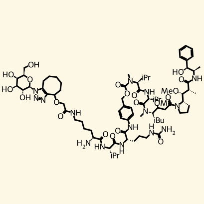 CC[C@H](C)[C@@H]([C@@H](CC(=O)N1CCC[C@H]1[C@H](OC)[C@@H](C)C(=O)N[C@H](C)[C@@H](O)c1ccccc1)OC)N(C)C(=O)[C@@H](NC(=O)[C@H](C(C)C)N(C)C(=O)OCc1ccc(NC(=O)[C@H](CCCNC(N)=O)NC(=O)[C@@H](NC(=O)[C@H](N)CCCCNC(=O)COC2CCCCCc3c2nnn3[C@@H]2O[C@H](CO)[C@H](O)[C@H](O)[C@H]2O)C(C)C)cc1)C(C)C